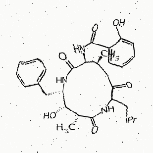 CC(C)CC1NC(=O)[C@H](C)[C@H](O)[C@H](Cc2ccccc2)NC(=O)[C@@H](NC(=O)c2ccccc2O)[C@@H](C)CC1=O